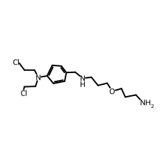 NCCCOCCCNCc1ccc(N(CCCl)CCCl)cc1